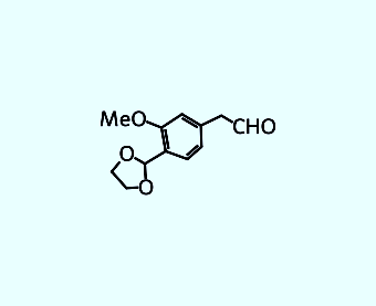 COc1cc(CC=O)ccc1C1OCCO1